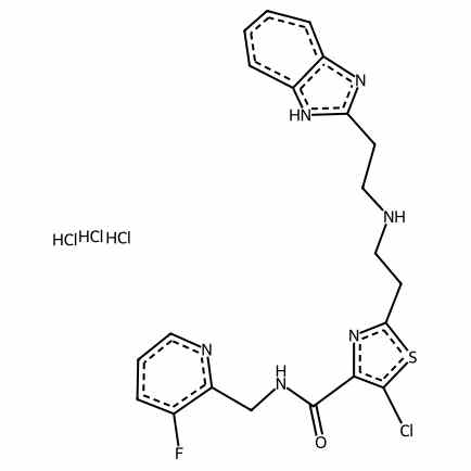 Cl.Cl.Cl.O=C(NCc1ncccc1F)c1nc(CCNCCc2nc3ccccc3[nH]2)sc1Cl